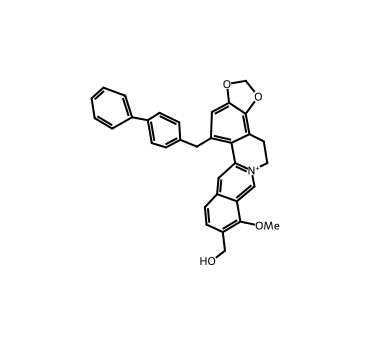 COc1c(CO)ccc2cc3[n+](cc12)CCc1c2c(cc(Cc4ccc(-c5ccccc5)cc4)c1-3)OCO2